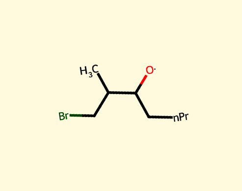 CCCCC([O])C(C)CBr